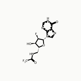 O=C(NC[C@H]1O[C@@H](n2cnc3c(=O)[nH]cnc32)[C@H](F)[C@@H]1O)C(F)(F)F